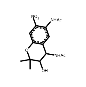 CC(=O)Nc1cc2c(cc1[N+](=O)[O-])OC(C)(C)C(O)C2NC(C)=O